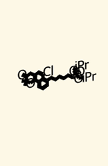 CC(C)OP(=O)(CCCCCCc1cccc2c3c(cc(Cl)c12)CC(=O)C(C)(C)O3)OC(C)C